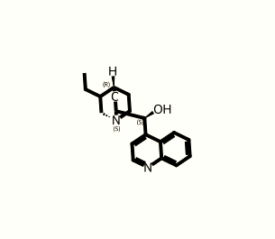 CCC1C[N@@]2CC[C@@H]1CC2[C@@H](O)c1ccnc2ccccc12